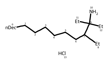 CCCCCCCCCCCCCCCCC(CC)C(N)(CC)CC.Cl